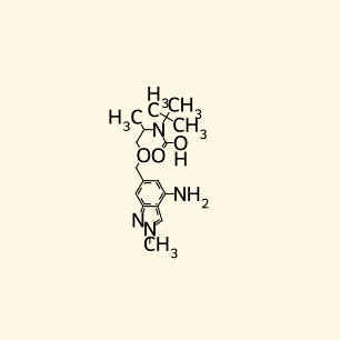 CC(COCc1cc(N)c2cn(C)nc2c1)N(C(=O)O)C(C)(C)C